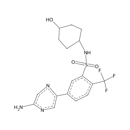 Nc1cnc(-c2ccc(C(F)(F)F)c(S(=O)(=O)NC3CCC(O)CC3)c2)cn1